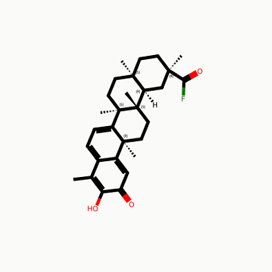 CC1=C(O)C(=O)C=C2C1=CC=C1[C@@]2(C)CC[C@@]2(C)[C@@H]3C[C@](C)(C(=O)F)CC[C@]3(C)CC[C@]12C